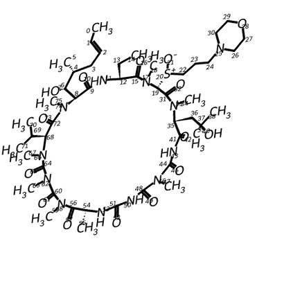 C/C=C/C[C@@H](C)[C@@H](O)[C@H]1C(=O)N[C@@H](CC)C(=O)N(C)[C@H]([S+]([O-])CCCN2CCOCC2)C(=O)N(C)[C@@H](CC(C)(C)O)C(=O)NC(=O)N(C)C(=O)NC(=O)N[C@H](C)C(=O)N(C)C(=O)N(C)C(=O)N(C)[C@@H](C(C)C)C(=O)N1C